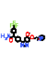 COc1cc2c(-c3ccc(C(C(N)=O)c4ccc(C(F)(F)F)cc4)cc3)ncnc2cc1OCCCN1C2CC1CN(C)C2